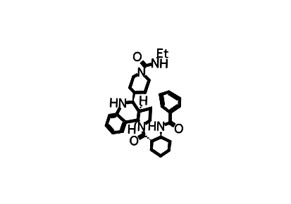 CCNC(=O)N1CCC([C@@H]2Nc3ccccc3[C@H]3[C@@H]2CCN3C(=O)[C@H]2CCCC[C@H]2NC(=O)c2ccccc2)CC1